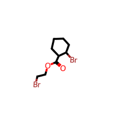 O=C(OCCBr)C1CCCCC1Br